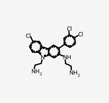 NCCNc1cc2c(cc1-c1ccc(Cl)c(Cl)c1)c1cc(Cl)ccc1n2CCN